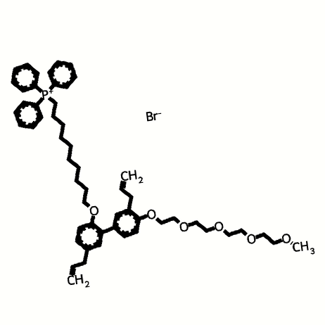 C=CCc1ccc(OCCCCCCCCCC[P+](c2ccccc2)(c2ccccc2)c2ccccc2)c(-c2ccc(OCCOCCOCCOCCOC)c(CC=C)c2)c1.[Br-]